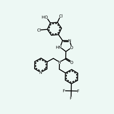 O=C(C1NC(c2cc(Cl)c(O)c(Cl)c2)=NO1)N(Cc1cccnc1)Cc1cccc(C(F)(F)F)c1